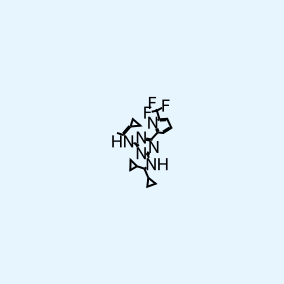 CC(Nc1nc(NC(C2CC2)C2CC2)nc(-c2cccc(C(F)(F)F)n2)n1)=C1CC1